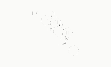 CC12CC[C@H]3[C@H](CC[C@@]4(O)C[C@@H](O)CC[C@]34C)[C@@H]1CCCN2C(=O)C1CCCCC1